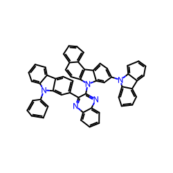 c1ccc(-n2c3ccccc3c3ccc(-c4nc5ccccc5nc4-n4c5cc(-n6c7ccccc7c7ccccc76)ccc5c5c6ccccc6ccc54)cc32)cc1